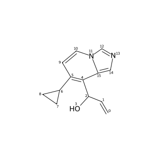 C=CC(O)c1c(C2CC2)ccn2cncc12